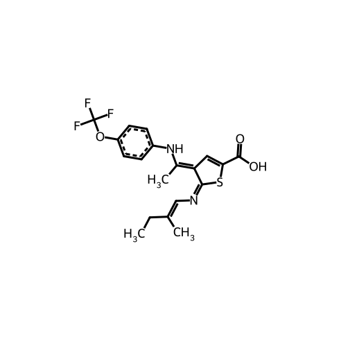 CC/C(C)=C/N=C1/SC(C(=O)O)=C/C1=C(/C)Nc1ccc(OC(F)(F)F)cc1